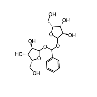 OC[C@H]1OC(OC(OC2O[C@H](CO)[C@H](O)[C@H]2O)c2ccccc2)[C@H](O)[C@H]1O